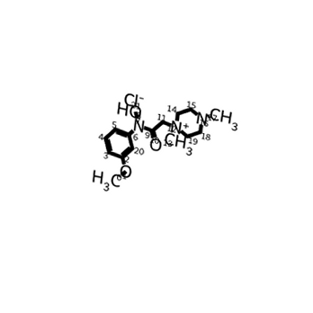 COc1cccc(N(O)C(=O)C[N+]2(C)CCN(C)CC2)c1.[Cl-]